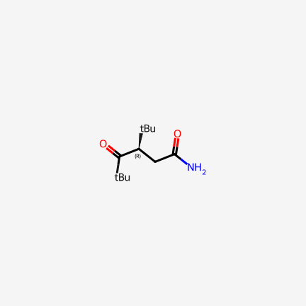 CC(C)(C)C(=O)[C@H](CC(N)=O)C(C)(C)C